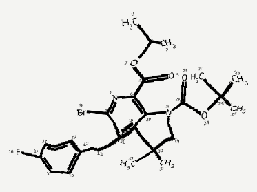 CC(C)OC(=O)c1nc(Br)c(Cc2ccc(F)cc2)c2c1N(C(=O)OC(C)(C)C)CC2(C)C